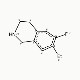 CCc1cc2c(cc1F)CCNC2